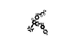 COC(=O)CC(=O)NC1CCC(n2c(=O)cc(C#C[Si](C(C)C)(C(C)C)C(C)C)c3cnc(Nc4ccc(N5CCN(C)CC5)cc4)nc32)CC1